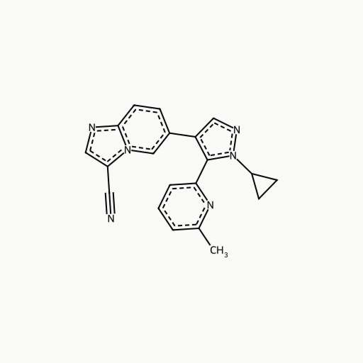 Cc1cccc(-c2c(-c3ccc4ncc(C#N)n4c3)cnn2C2CC2)n1